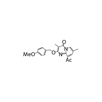 COc1ccc(COc2nc3c(C(C)=O)cc(C)cn3c(=O)c2C)cc1